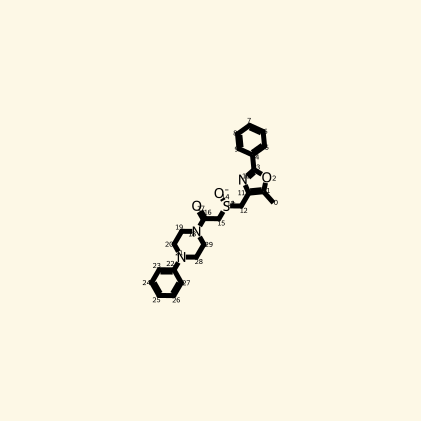 Cc1oc(-c2ccccc2)nc1C[S+]([O-])CC(=O)N1CCN(c2ccccc2)CC1